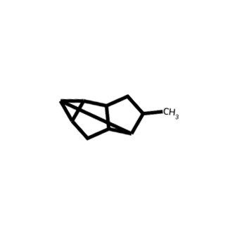 CC1CC2C3CC4C2C4C13